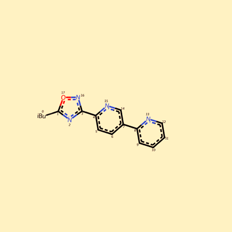 CCC(C)c1nc(-c2ccc(-c3ccccn3)cn2)no1